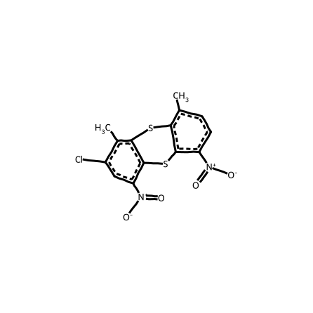 Cc1ccc([N+](=O)[O-])c2c1Sc1c(C)c(Cl)cc([N+](=O)[O-])c1S2